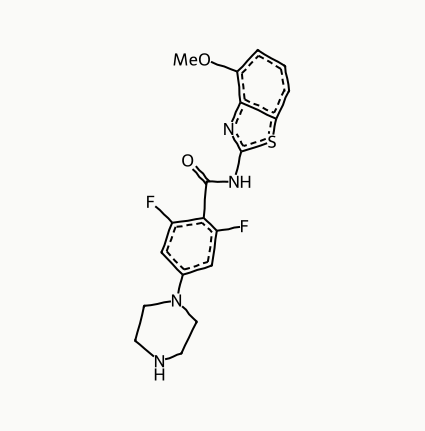 COc1cccc2sc(NC(=O)c3c(F)cc(N4CCNCC4)cc3F)nc12